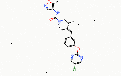 Cc1oncc1NC(=O)N1CC/C(=C\c2cccc(Oc3ncc(Cl)cn3)c2)C(C)C1